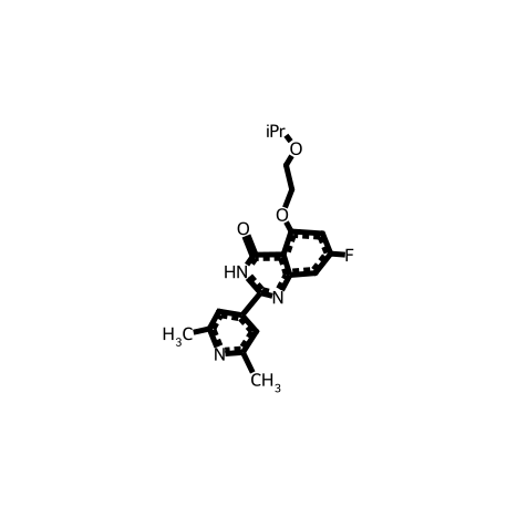 Cc1cc(-c2nc3cc(F)cc(OCCOC(C)C)c3c(=O)[nH]2)cc(C)n1